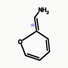 N/C=C1\C=CC=CO1